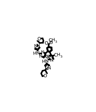 COC(=O)c1ccc(-c2nc(Nc3cnn(C4CCCOC4)c3)ncc2C)c(-c2nc(Nc3cnn(C4CCCOC4)c3)ncc2C)c1